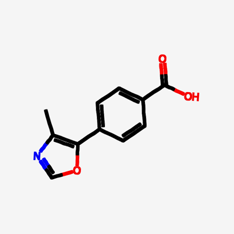 Cc1ncoc1-c1ccc(C(=O)O)cc1